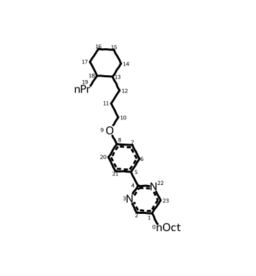 CCCCCCCCc1cnc(-c2ccc(OCCCC3CCCCC3CCC)cc2)nc1